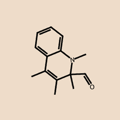 CC1=C(C)C(C)(C=O)N(C)c2ccccc21